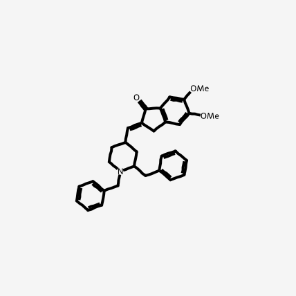 COc1cc2c(cc1OC)C(=O)/C(=C/C1CCN(Cc3ccccc3)C(Cc3ccccc3)C1)C2